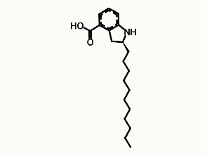 CCCCCCCCCCC[C@H]1Cc2c(cccc2C(=O)O)N1